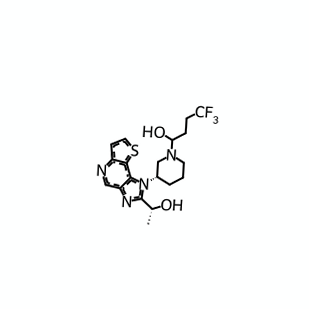 C[C@@H](O)c1nc2cnc3ccsc3c2n1[C@H]1CCCN(C(O)CCC(F)(F)F)C1